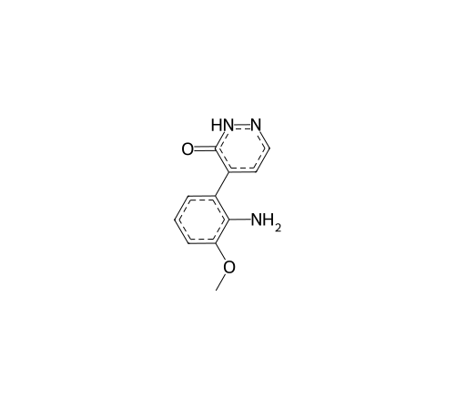 COc1cccc(-c2ccn[nH]c2=O)c1N